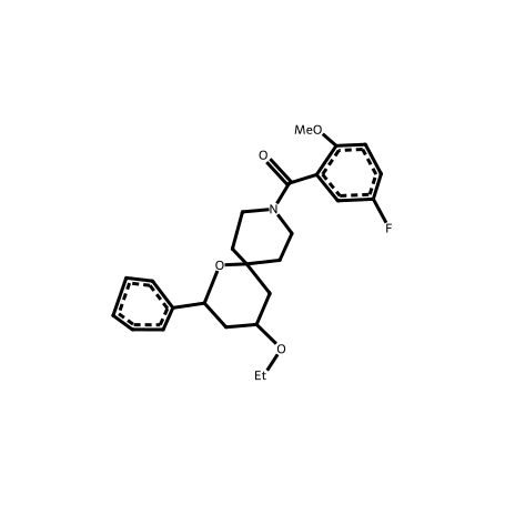 CCOC1CC(c2ccccc2)OC2(CCN(C(=O)c3cc(F)ccc3OC)CC2)C1